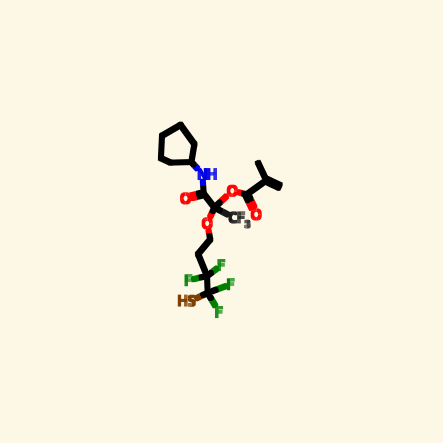 C=C(C)C(=O)OC(OCCC(F)(F)C(F)(F)S)(C(=O)NC1CCCCC1)C(F)(F)F